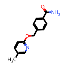 Cc1ccc(OCc2ccc(C(N)=O)cc2)nc1